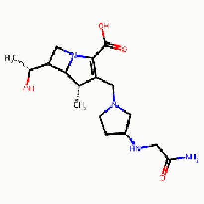 C[C@@H](O)C1CN2C(C(=O)O)=C(CN3CC[C@H](NCC(N)=O)C3)[C@H](C)C12